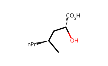 CCC[C@H](C)C[C@@H](O)C(=O)O